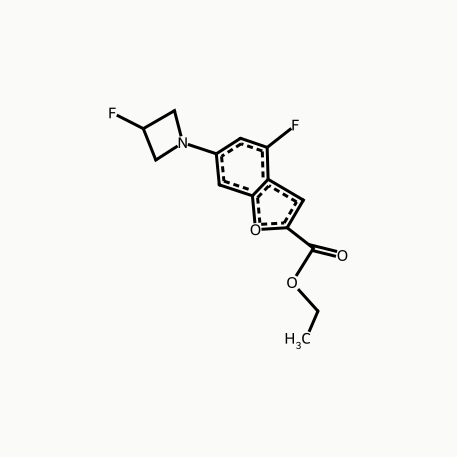 CCOC(=O)c1cc2c(F)cc(N3CC(F)C3)cc2o1